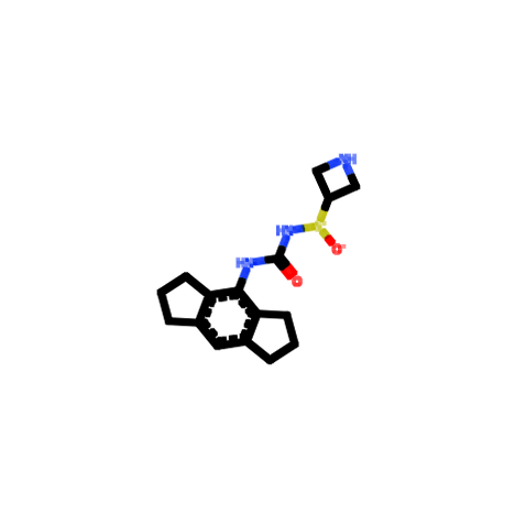 O=C(Nc1c2c(cc3c1CCC3)CCC2)N[S+]([O-])C1CNC1